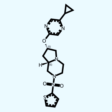 O=S(=O)(c1cccs1)N1CCN2C[C@@H](Oc3cnc(C4CC4)cn3)C[C@H]2C1